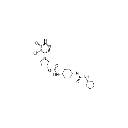 O=C(NC1CCCC1)N[C@H]1CC[C@H](NC(=O)O[C@@H]2CCN(c3cn[nH]c(=O)c3Cl)C2)CC1